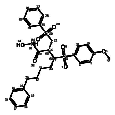 COc1ccc(S(=O)(=O)[C@@H](CCCCc2ccccc2)[C@@H](CS(=O)(=O)c2ccccc2)C(=O)NO)cc1